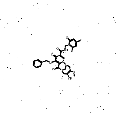 COC1=C(O)[C@H](C)N2CN([C@@H]1C)n1cc(C(=O)NCc3c(F)cc(F)cc3F)c(=O)c(OCc3ccccc3)c1C2=O